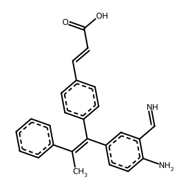 C/C(=C(/c1ccc(/C=C/C(=O)O)cc1)c1ccc(N)c(C=N)c1)c1ccccc1